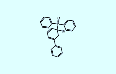 O=P(c1ccccc1)(c1ccccc1)C1(Br)C=CC=C(c2ccccc2)C1